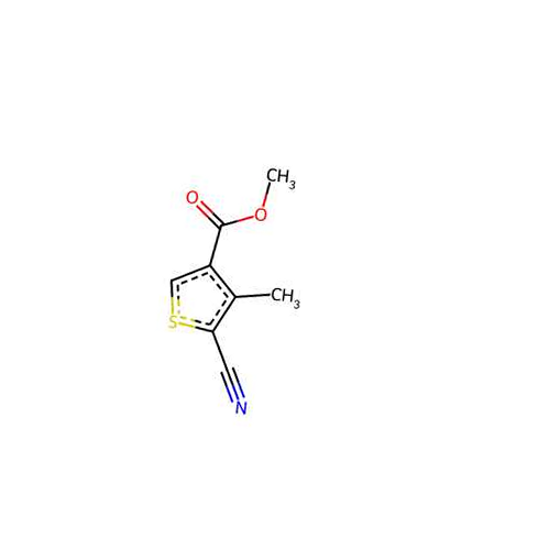 COC(=O)c1csc(C#N)c1C